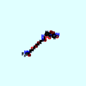 O=C(COc1cccc2c1C(=O)N(C1CCC(=O)NC1=O)C2=O)NCCCOCCOCCOCCCNC(=O)C(F)(F)F